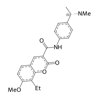 CCc1c(OC)ccc2cc(C(=O)Nc3ccc([C@H](C)NC)cc3)c(=O)oc12